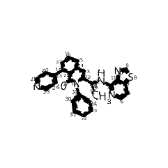 C[C@H](Nc1nccc2scnc12)c1cc2cccc(-c3ccncc3)c2c(=O)n1-c1ccccc1